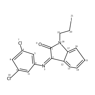 O=C1C(=Nc2cc(Cl)cc(Cl)c2)c2ccccc2N1CCI